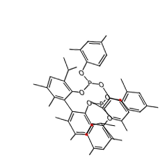 Cc1ccc(OP(Oc2ccc(C)cc2C)Oc2c(C(C)C)cc(C)c(C)c2-c2c(C)c(C)cc(C(C)C)c2OP(Oc2ccc(C)cc2C)Oc2ccc(C)cc2C)c(C)c1